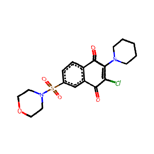 O=C1C(Cl)=C(N2CCCCC2)C(=O)c2ccc(S(=O)(=O)N3CCOCC3)cc21